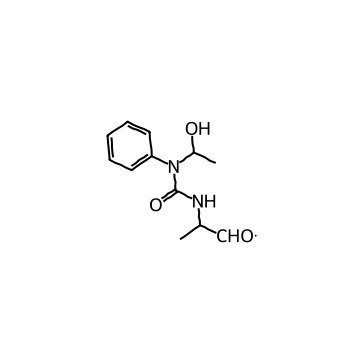 CC([C]=O)NC(=O)N(c1ccccc1)C(C)O